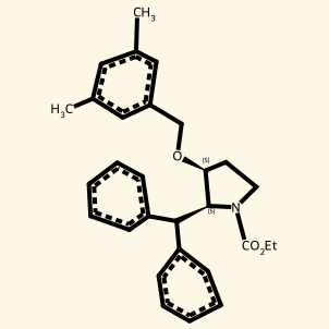 CCOC(=O)N1CC[C@H](OCc2cc(C)cc(C)c2)[C@@H]1C(c1ccccc1)c1ccccc1